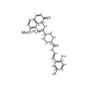 COc1ccc2ccc(=O)n(CC(N)C3CCC(NCC=Cc4cc(F)ccc4F)CC3)c2c1